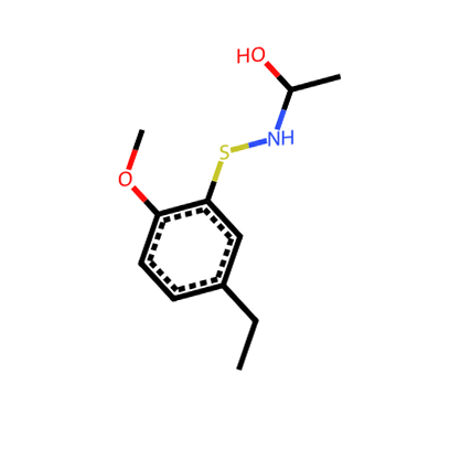 CCc1ccc(OC)c(SNC(C)O)c1